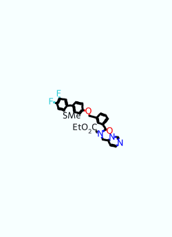 CCOC(=O)CN(Cc1ccncn1)C(=O)c1cccc(COc2ccc(-c3cc(F)c(F)cc3SC)cc2)c1